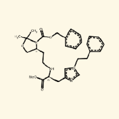 COC(=O)[C@H](Cc1cn(CCc2ccccc2)cn1)NCC[C@H]1COC(C)(C)N1C(=O)OCc1ccccc1